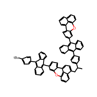 CC(Cc1ccc2c3c(cccc13)Oc1cc(-c3c4ccccc4c(-c4ccc(C(C)(C)C)cc4)c4ccccc34)ccc1-2)c1ccc(-c2c3ccccc3c(-c3ccc4c(c3)Oc3cccc5cccc-4c35)c3ccccc23)cc1